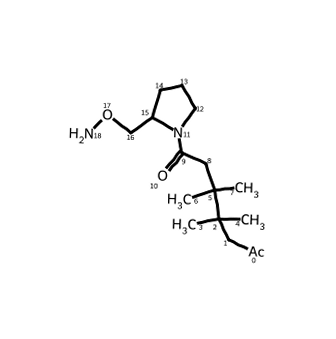 CC(=O)CC(C)(C)C(C)(C)CC(=O)N1CCCC1CON